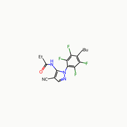 CCC(=O)Nc1c(C#N)cnn1-c1c(F)c(F)c(C(C)CC)c(F)c1F